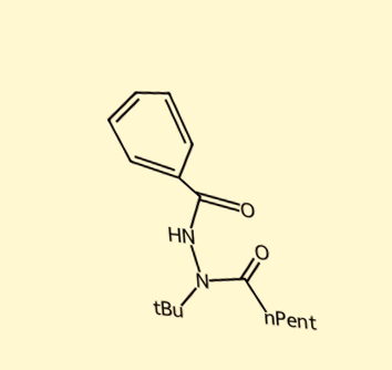 CCCCCC(=O)N(NC(=O)c1ccccc1)C(C)(C)C